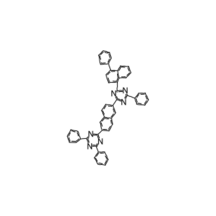 c1ccc(-c2nc(-c3ccccc3)nc(-c3ccc4cc(-c5nc(-c6ccccc6)nc(-c6ccc(-c7ccccc7)c7ccccc67)n5)ccc4c3)n2)cc1